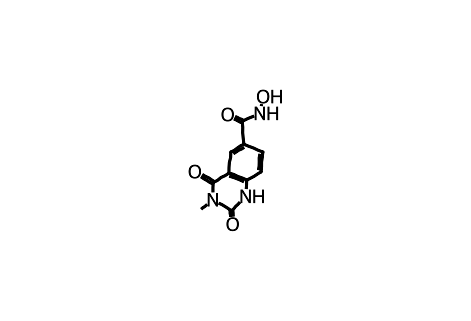 Cn1c(=O)[nH]c2ccc(C(=O)NO)cc2c1=O